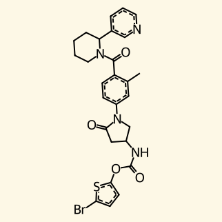 Cc1cc(N2CC(NC(=O)Oc3ccc(Br)s3)CC2=O)ccc1C(=O)N1CCCCC1c1cccnc1